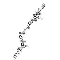 COc1cc(NC(=O)C[n+]2cccc(CONCCSCCNC(=O)c3ccc[n+](CC(=O)Nc4ccc(NNC(=O)C(=O)NCCCN5CCOCC5)c(OC)c4)c3)c2)ccc1NNC(=O)C(=O)NCCCN1CCOCC1